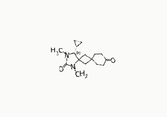 CN1C(=O)N(C)C2(CC3(CCC(=O)CC3)C2)[C@H]1C1CC1